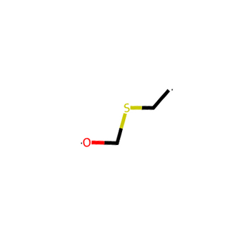 [CH2]CSC[O]